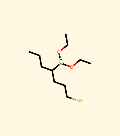 CCCC(CCCS)[SiH](OCC)OCC